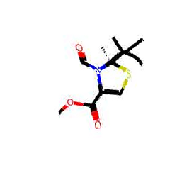 COC(=O)C1=CS[C@](C)(C(C)(C)C)N1C=O